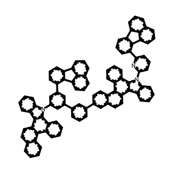 c1cc(-c2cc(-c3cccc4c3-c3cccc5cccc-4c35)cc(-n3c4ccccc4c4c5ccc6ccccc6c5c5ccccc5c43)c2)cc(-c2ccc3c(ccc4c3c3ccccc3c3c4c4ccccc4n3-c3cccc(-c4cccc5c4-c4cccc6cccc-5c46)n3)c2)c1